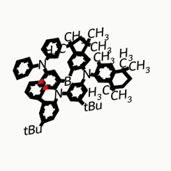 Cc1cc2c(cc1N1c3cc4c(cc3B3c5cc(N(c6ccccc6)c6ccccc6)ccc5N(c5ccc(C(C)(C)C)cc5-c5ccccc5)c5cc(C(C)(C)C)cc1c53)C(C)(C)CC4(C)C)C(C)(C)CCC2(C)C